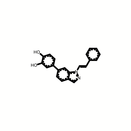 Oc1ccc(-c2ccc3cnn(C=Cc4ccccc4)c3c2)cc1O